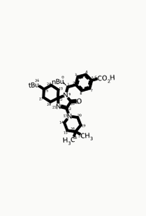 CCCC[C@H](c1ccc(C(=O)O)cc1)N1C(=O)C(N2CCC(C)(C)CC2)=NC12CCC(C(C)(C)C)CC2